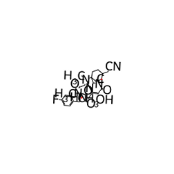 CN(C)C(=O)C(=O)N(C)C12CCC(CC#N)(CC1)Cn1c2nc(C(=O)NCc2ccc(F)cc2)c(O)c1=O